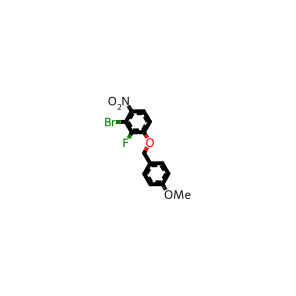 COc1ccc(COc2ccc([N+](=O)[O-])c(Br)c2F)cc1